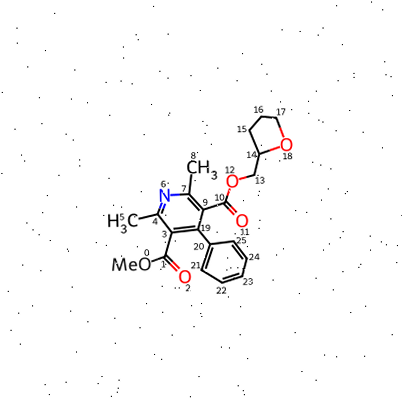 COC(=O)c1c(C)nc(C)c(C(=O)OCC2CCCO2)c1-c1ccccc1